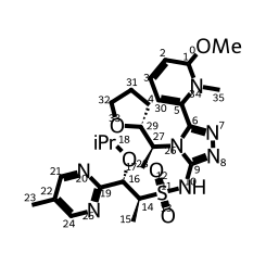 COC1C=CC=C(c2nnc(NS(=O)(=O)[C@@H](C)[C@@H](OC(C)C)c3ncc(C)cn3)n2[C@@H](C)[C@H]2CCCO2)N1C